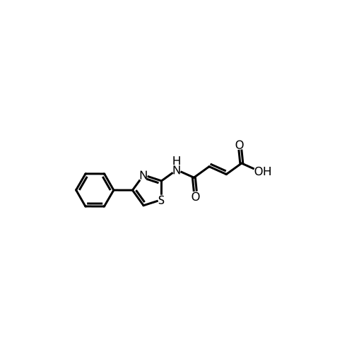 O=C(O)/C=C/C(=O)Nc1nc(-c2ccccc2)cs1